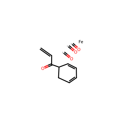 C=CC(=O)C1C=CC=CC1.[C]=O.[C]=O.[C]=O.[Fe]